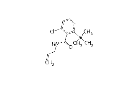 C=CCNC(=O)c1c(Cl)cccc1[Si](C)(C)C